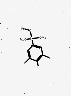 CO[Si](OC)(OC(C)C)c1cc(F)c(F)c(F)c1